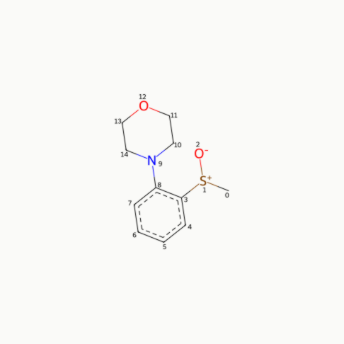 C[S+]([O-])c1ccccc1N1CCOCC1